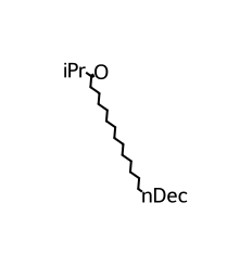 CCCCCCCCCCCCCCCCCCCCCCCC(=O)C(C)C